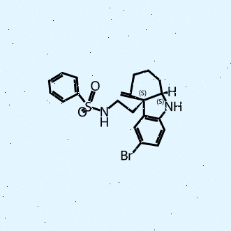 C=C1CCC[C@@H]2Nc3ccc(Br)cc3[C@]12CCNS(=O)(=O)c1ccccc1